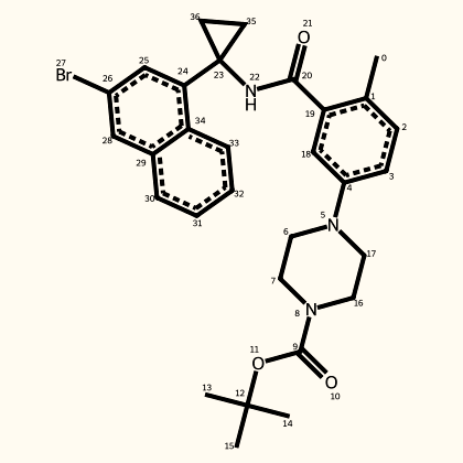 Cc1ccc(N2CCN(C(=O)OC(C)(C)C)CC2)cc1C(=O)NC1(c2cc(Br)cc3ccccc23)CC1